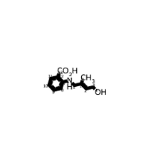 C/C(=C\CO)CNc1ccccc1C(=O)O